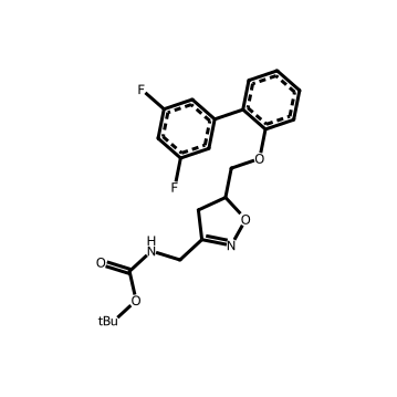 CC(C)(C)OC(=O)NCC1=NOC(COc2ccccc2-c2cc(F)cc(F)c2)C1